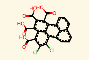 O=C(O)c1c(C(=O)O)c2c(C(=O)O)c(Cl)c(Cl)c3c4cccc5cccc(c(c1C(=O)O)c23)c54